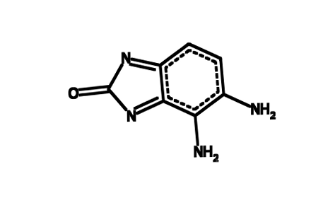 Nc1ccc2c(c1N)=NC(=O)N=2